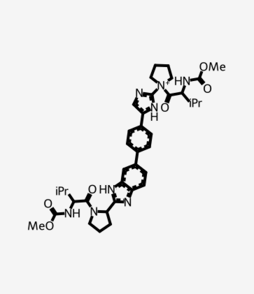 COC(=O)NC(C(=O)N1CCCC1c1nc2ccc(-c3ccc(-c4cnc([N+]5(C(=O)C(NC(=O)OC)C(C)C)CCCC5)[nH]4)cc3)cc2[nH]1)C(C)C